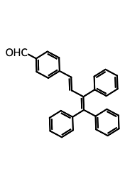 O=Cc1ccc(C=CC(=C(c2ccccc2)c2ccccc2)c2ccccc2)cc1